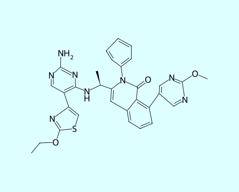 CCOc1nc(-c2cnc(N)nc2N[C@@H](C)c2cc3cccc(-c4cnc(OC)nc4)c3c(=O)n2-c2ccccc2)cs1